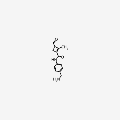 CC1=C(C(=O)Nc2ccc(CN)cc2)CC1C=O